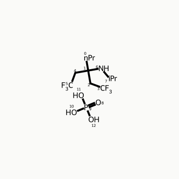 CCCC(CC(F)(F)F)(CC(F)(F)F)NC(C)C.O=P(O)(O)O